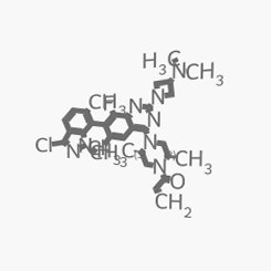 C=CC(=O)N1C[C@H](C)N(c2nc(N3CC(N(C)C)C3)nc3c(F)c(-c4c(C)ccc5c(Cl)nn(C)c45)c(Cl)cc23)C[C@H]1C